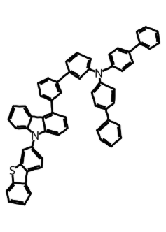 c1ccc(-c2ccc(N(c3ccc(-c4ccccc4)cc3)c3cccc(-c4cccc(-c5cccc6c5c5ccccc5n6-c5ccc6c(c5)sc5ccccc56)c4)c3)cc2)cc1